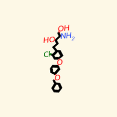 NC(CO)C(O)CCc1ccc(Oc2cccc(OCc3ccccc3)c2)cc1Cl